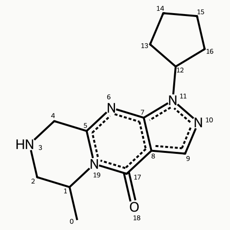 CC1CNCc2nc3c(cnn3C3CCCC3)c(=O)n21